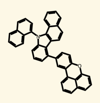 c1ccc2c(-n3c4cccc(-c5ccc6c(c5)-c5cccc7cccc(c57)O6)c4c4ccc5ccccc5c43)cccc2c1